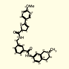 COc1ncc(C2=CCC(C(=O)NCc3cccc(C(=O)Nc4ccc5c(c4)CN(C)CC5)c3)S2)cn1